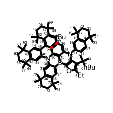 CCCCC(C)(C)c1c(CC)oc2c1N(c1ccc3c(c1)C(C)(C)CCC3(C)C)c1cc(C(C)(C)C)cc3c1B2c1cc2c(cc1N3c1cc3c(cc1-c1cccc4c1C(C)(C)CCC4(C)C)C(C)(C)CCC3(C)C)C(C)(C)CCC2(C)C